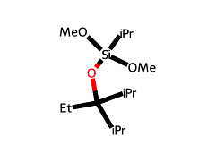 CCC(O[Si](OC)(OC)C(C)C)(C(C)C)C(C)C